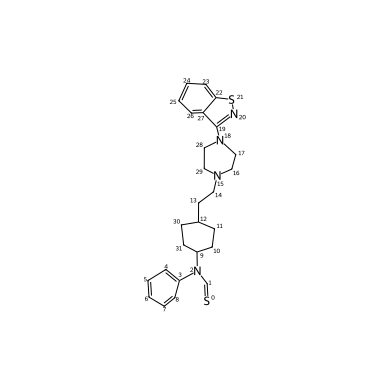 S=CN(c1ccccc1)C1CCC(CCN2CCN(c3nsc4ccccc34)CC2)CC1